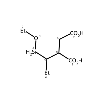 CCO[SiH2]C(CC)C(CC(=O)O)C(=O)O